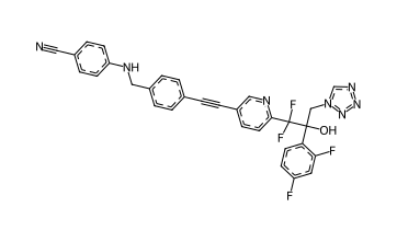 N#Cc1ccc(NCc2ccc(C#Cc3ccc(C(F)(F)C(O)(Cn4cnnn4)c4ccc(F)cc4F)nc3)cc2)cc1